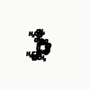 Cc1cccc(C)c1-c1cc2nc(n1)NS(=O)(=O)c1cccc(c1)C(=O)N1CCN(C(=O)C3CCOC(C)(C)C3)C[C@@H]1CO2